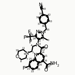 Cc1c(N(CCN2CCOCC2)C(=O)c2cc(C(N)=O)c3ccc(F)cc3n2)c(C(F)(F)F)nn1Cc1ccc(C#N)cc1